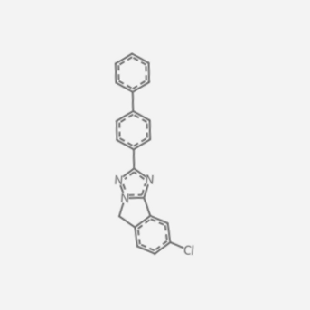 Clc1ccc2c(c1)-c1nc(-c3ccc(-c4ccccc4)cc3)nn1C2